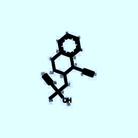 C#CC1c2ccccc2CCC1CC(C)(O)C#C